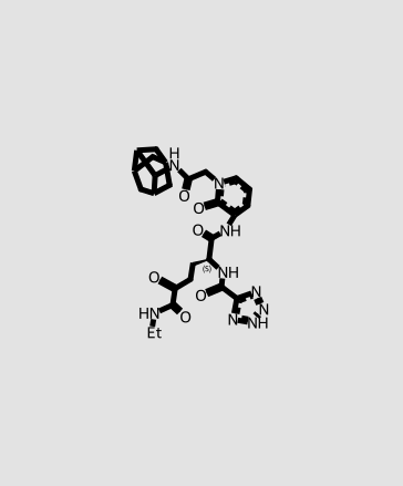 CCNC(=O)C(=O)CC[C@H](NC(=O)c1nn[nH]n1)C(=O)Nc1cccn(CC(=O)NC2C3CC4CC(C3)C2C4)c1=O